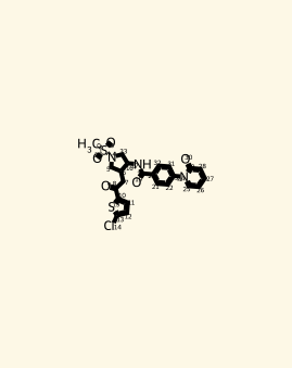 CS(=O)(=O)N1CC(CC(=O)c2ccc(Cl)s2)C(NC(=O)c2ccc(-n3ccccc3=O)cc2)C1